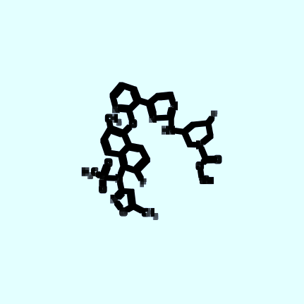 Cc1cc(N(c2c(F)ccc3c(Oc4ncccc4-c4ccnc(NC5CC(F)CN(C(=O)OC(C)(C)C)C5)n4)c(C)ccc23)S(C)(=O)=O)no1